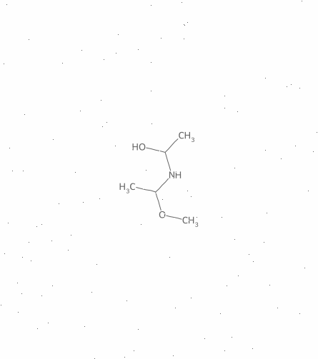 COC(C)NC(C)O